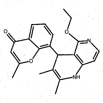 CCOc1nccc2c1C(c1cccc3c(=O)cc(C)oc13)C(C)=C(C)N2